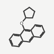 c1ccc2c(OC3CCCC3)c3ccccc3cc2c1